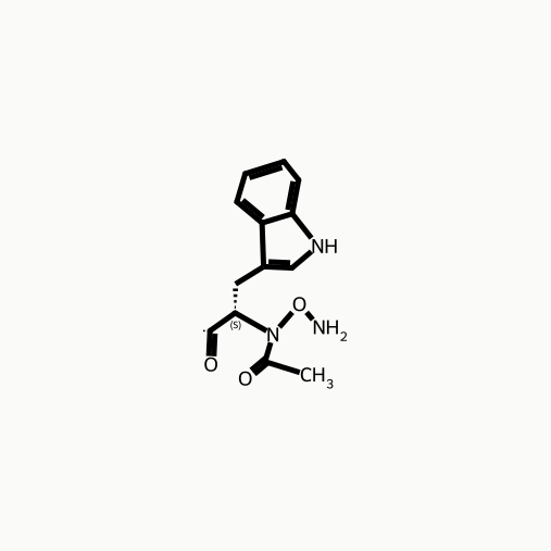 CC(=O)N(ON)[C@H]([C]=O)Cc1c[nH]c2ccccc12